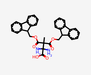 CC(C(=O)OCC1c2ccccc2-c2ccccc21)(C(=O)OCC1c2ccccc2-c2ccccc21)C(N)(N)C(=O)O